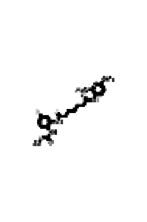 COc1ccc(NC(=O)CCCCCC(=O)Nc2cc(F)ccc2NC(=O)OC(C)(C)C)c(OC)n1